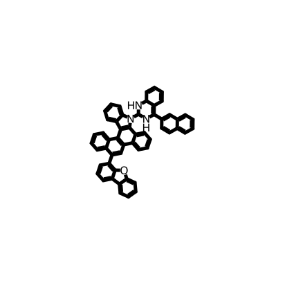 C1=CC2=C(c3ccc4ccccc4c3)NC(n3c4ccccc4c4c5c6ccccc6c(-c6cccc7c6oc6ccccc67)cc5c5ccccc5c43)NC2C=C1